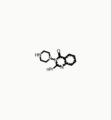 CCCc1nc2ccccc2c(=O)n1N1CCNCC1